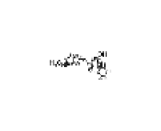 CNc1ccc2nc(SCC(OC(=O)O)C(=O)NC3CCCCC3)sc2c1